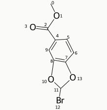 COC(=O)c1ccc2c(c1)OC(Br)O2